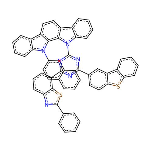 c1ccc(-c2nc3cccc(-c4nc(-c5ccc6sc7ccccc7c6c5)nc(-n5c6ccccc6c6ccc7c8ccccc8n(-c8ccc9ccccc9c8)c7c65)n4)c3s2)cc1